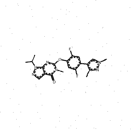 Cc1nn(C)cc1-c1cc(F)c(Oc2nc3c(cnn3C(C)C)c(=O)n2C)cc1F